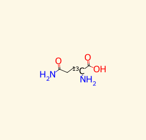 NC(=O)CC[13C@H](N)C(=O)O